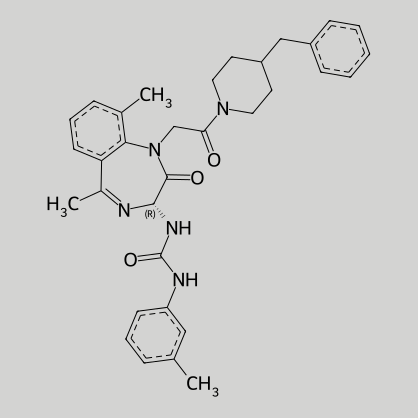 CC1=N[C@@H](NC(=O)Nc2cccc(C)c2)C(=O)N(CC(=O)N2CCC(Cc3ccccc3)CC2)c2c(C)cccc21